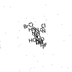 O=C(NCC(F)(F)F)[C@H]1O[C@@H](n2cnc3c(NCc4cccc(Br)c4)nc(-c4cncc(Cl)c4)nc32)[C@H](O)[C@@H]1O